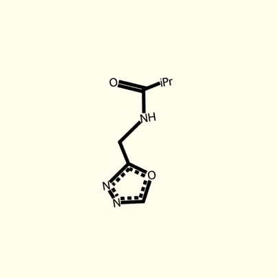 CC(C)C(=O)NCc1nnco1